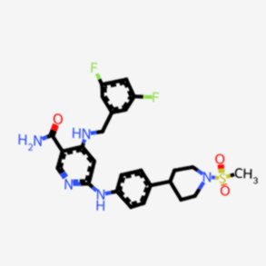 CS(=O)(=O)N1CCC(c2ccc(Nc3cc(NCc4cc(F)cc(F)c4)c(C(N)=O)cn3)cc2)CC1